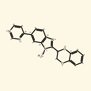 Cn1c(C2COc3ccccc3O2)nc2ccc(-c3ccncn3)cc21